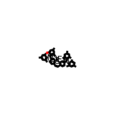 CCS1(CC)c2cc(N(c3c(C)cc(C)cc3C)c3c(C)cc(C)cc3C)ccc2C=Cc2ccc(N(c3c(C)cc(C)cc3C)c3c(C)cc(C)cc3C)cc21